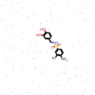 CC(=O)c1cc(S(=O)(=O)NCc2ccc(O)c(O)c2)ccc1[N+](=O)[O-]